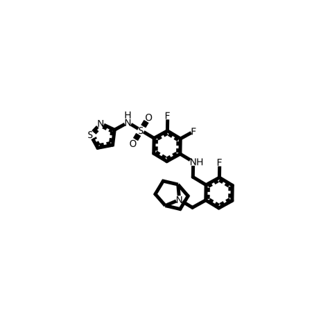 O=S(=O)(Nc1ccsn1)c1ccc(NCc2c(F)cccc2CN2C3CCC2CC3)c(F)c1F